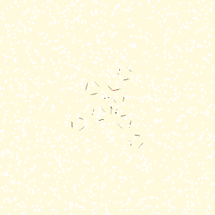 CC1(C)c2ccccc2-c2ccc(N(c3ccc(-c4ccccc4)cc3)c3cc4sc5ccccc5c4cc3-c3cccc4ccccc34)cc21